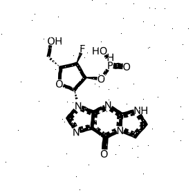 O=c1c2ncn([C@@H]3O[C@H](CO)[C@@H](F)[C@H]3O[PH](=O)O)c2nc2[nH]ccn12